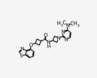 CN(C)c1ccnc(N2CC(NC(=O)C3CC(Oc4cccc5scnc45)C3)C2)n1